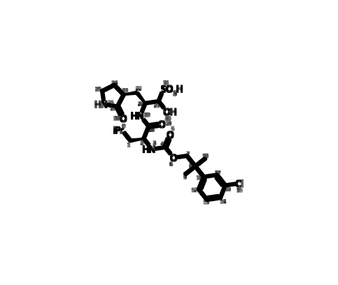 CC(C)C[C@H](NC(=O)OCC(C)(C)c1cccc(Cl)c1)C(=O)N[C@@H](C[C@@H]1CCNC1=O)C(O)S(=O)(=O)O